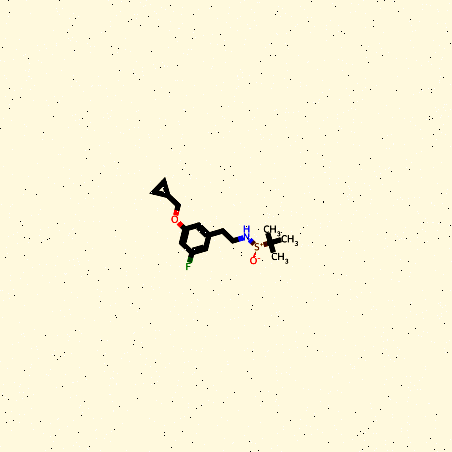 CC(C)(C)[S@+]([O-])NCCc1cc(F)cc(OCC2CC2)c1